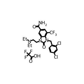 CCN(CC)CCn1c(=O)n(Cc2ccc(Cl)cc2Cl)c2c(C(F)(F)F)cc(C(N)=O)cc21.O=C(O)C(F)(F)F